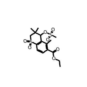 CCOC(=O)c1ccc2c(c1C)C(OS(C)(=O)=O)C(C)(C)CS2(=O)=O